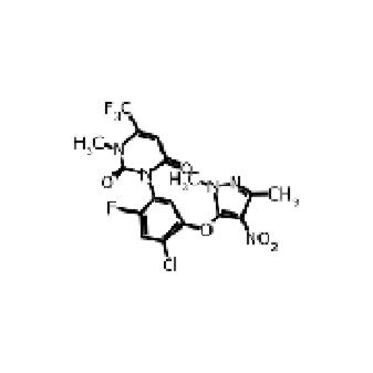 Cc1nn(C)c(Oc2cc(-n3c(=O)cc(C(F)(F)F)n(C)c3=O)c(F)cc2Cl)c1[N+](=O)[O-]